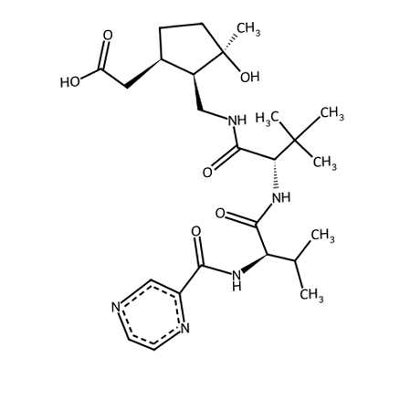 CC(C)[C@@H](NC(=O)c1cnccn1)C(=O)N[C@H](C(=O)NC[C@H]1[C@@H](CC(=O)O)CC[C@@]1(C)O)C(C)(C)C